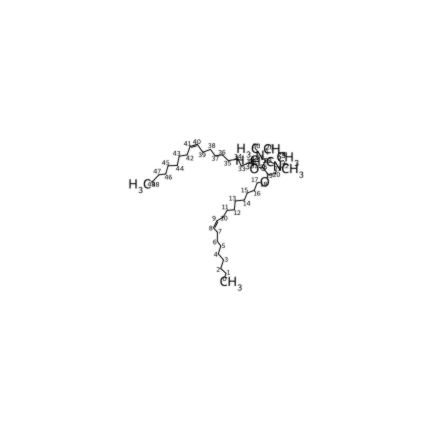 CCCCCCCC/C=C\CCCCCCCCOC(C[N+](C)(C)C)C(C[N+](C)(C)C)OCCCCCCCC/C=C\CCCCCCCC